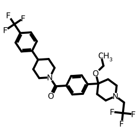 CCOC1(c2ccc(C(=O)N3CCC(c4ccc(C(F)(F)F)cc4)CC3)cc2)CCN(CC(F)(F)F)CC1